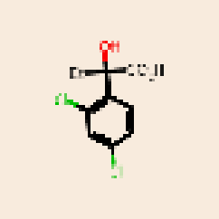 CCC(O)(C(=O)O)c1ccc(Cl)cc1Cl